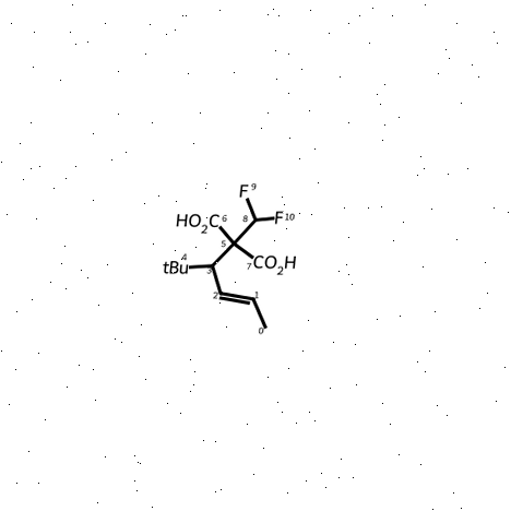 CC=CC(C(C)(C)C)C(C(=O)O)(C(=O)O)C(F)F